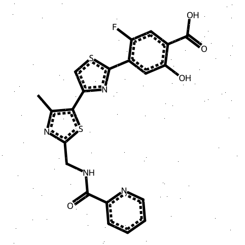 Cc1nc(CNC(=O)c2ccccn2)sc1-c1csc(-c2cc(O)c(C(=O)O)cc2F)n1